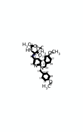 COC(=O)/C(=C\c1ccc(N(Cc2ccc(OC)cc2)Cc2ccc(OC)cc2)nc1)NC(C)=O